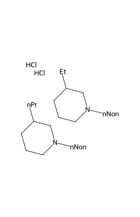 CCCCCCCCCN1CCCC(CC)C1.CCCCCCCCCN1CCCC(CCC)C1.Cl.Cl